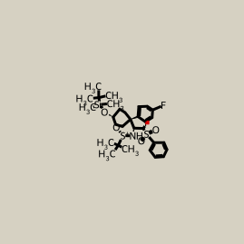 CC(C)(C)[S+]([O-])N[C@@H](C(F)S(=O)(=O)c1ccccc1)[C@]1(c2ccc(F)cc2)CC[C@H](O[Si](C)(C)C(C)(C)C)CC1